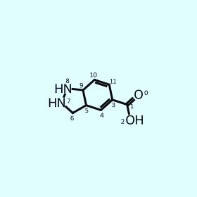 O=C(O)C1=CC2CNNC2C=C1